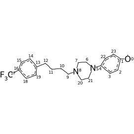 [O]c1ccc(N2CCN(CCCCc3ccc(C(F)(F)F)cc3)CC2)cc1